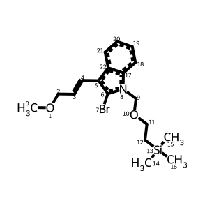 COC/C=C/c1c(Br)n(COCC[Si](C)(C)C)c2ccccc12